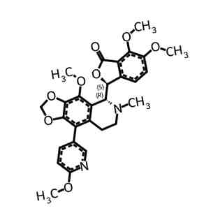 COc1ccc(-c2c3c(c(OC)c4c2OCO4)[C@H]([C@H]2OC(=O)c4c2ccc(OC)c4OC)N(C)CC3)cn1